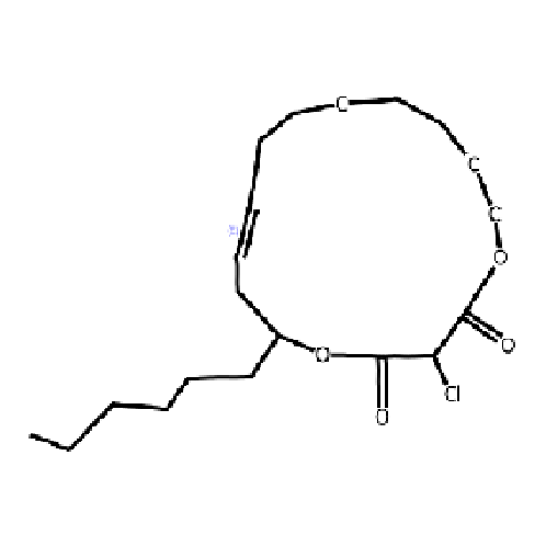 CCCCCCC1C/C=C/CCCCCCCOC(=O)C(Cl)C(=O)O1